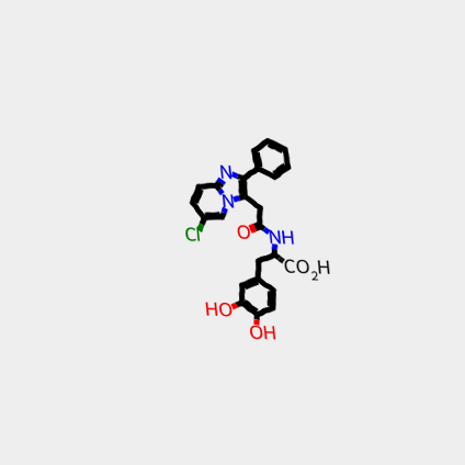 O=C(Cc1c(-c2ccccc2)nc2ccc(Cl)cn12)NC(Cc1ccc(O)c(O)c1)C(=O)O